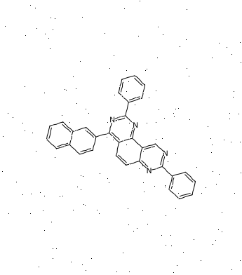 c1ccc(-c2ncc3c(ccc4c(-c5ccc6ccccc6c5)nc(-c5ccccc5)nc43)n2)cc1